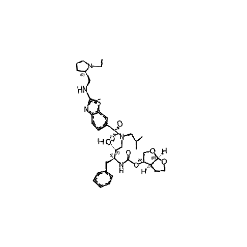 CCN1CCC[C@@H]1CNc1nc2ccc(S(=O)(=O)N(CC(C)C)C[C@@H](O)[C@H](Cc3ccccc3)NC(=O)O[C@H]3CO[C@H]4OCC[C@H]43)cc2s1